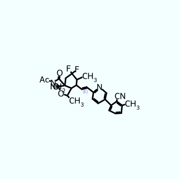 CC(=O)N(N)C(=O)C12CC(F)(F)C(C)C(/C=C/c3ccc(-c4cccc(C)c4C#N)cn3)C1C(C)OC2=O